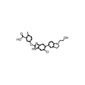 Cc1ccc(Oc2nc3cc(-c4ccc5c(c4)CCN5CCO)c(Cl)cc3[nH]2)cc1C(=O)O